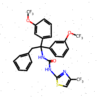 O=C(Nc1nc(C(F)(F)F)cs1)NC(Cc1ccccc1)(c1cccc(OC(F)(F)F)c1)c1cccc(OC(F)(F)F)c1